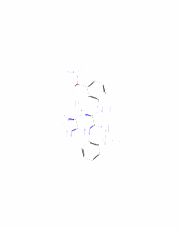 CC[C@@H](Nc1nc2nonc2nc1Nc1cccc(C(=O)N(C)C)c1O)c1ccccc1